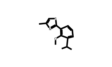 COc1c(-c2nc(C)cs2)cccc1C(C)C